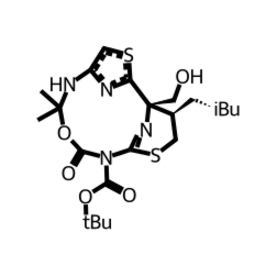 CC[C@@H](C)C[C@H]1CSC2=N[C@]1(CO)c1nc(cs1)NC(C)(C)OC(=O)N2C(=O)OC(C)(C)C